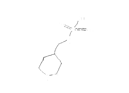 CS(=O)(=O)OCC1CCSCC1